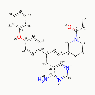 C=CC(=O)N1CCCC(C2=CC(c3ccc(Oc4ccccc4)cc3)Cc3c(N)ncnc32)C1